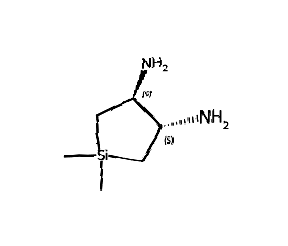 C[Si]1(C)C[C@@H](N)[C@H](N)C1